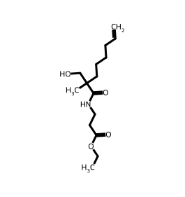 C=CCCCCC(C)(CO)C(=O)NCCC(=O)OCC